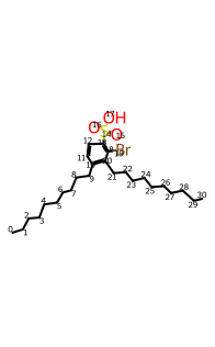 CCCCCCCCCCc1ccc(S(=O)(=O)O)c(Br)c1CCCCCCCCCC